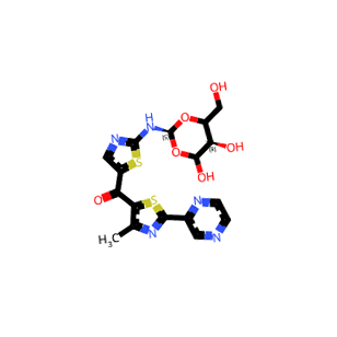 Cc1nc(-c2cnccn2)sc1C(=O)c1cnc(N[C@@H]2OC(O)[C@H](O)C(CO)O2)s1